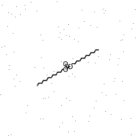 CCCCCCCCCCCCO[Si](=O)OCCCCCCCCCCCC